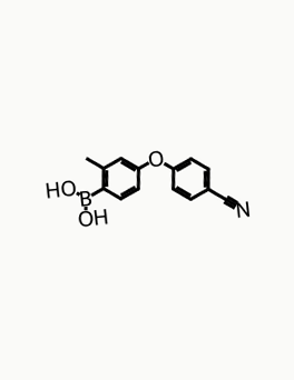 Cc1cc(Oc2ccc(C#N)cc2)ccc1B(O)O